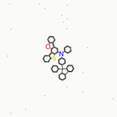 c1ccc(N(c2ccc(C3(c4ccccc4)c4ccccc4-c4ccccc43)cc2)c2cc3c4ccccc4oc3c3c2sc2ccccc23)cc1